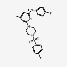 Cc1cc(Nc2ccc(F)cc2)nc(N2CCN(S(=O)(=O)c3ccc(F)cc3)CC2)n1